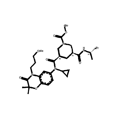 COCCCN1C(=O)C(C)(C)Oc2ccc(N(C(=O)[C@@H]3C[C@H](C(=O)N[C@@H](C)C(C)C)CN(C(=O)OC(C)(C)C)C3)C3CC3)cc21